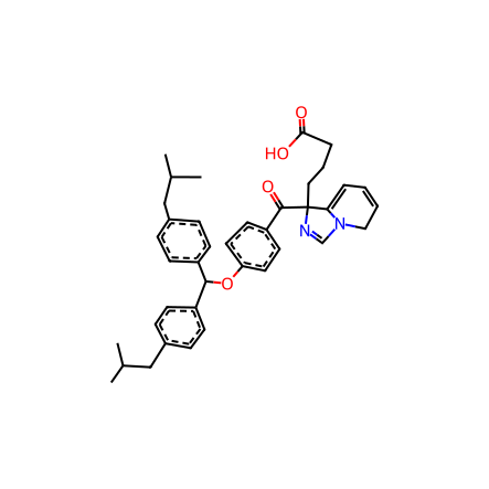 CC(C)Cc1ccc(C(Oc2ccc(C(=O)C3(CCCC(=O)O)N=CN4CC=CC=C43)cc2)c2ccc(CC(C)C)cc2)cc1